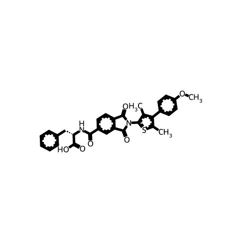 COc1ccc(-c2c(C)sc(N3C(=O)c4ccc(C(=O)N[C@@H](Cc5ccccc5)C(=O)O)cc4C3=O)c2C)cc1